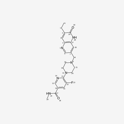 CCc1cc2ncc(CN3CCN(c4ncc(C(=O)NC)cc4F)CC3)cc2[nH]c1=O